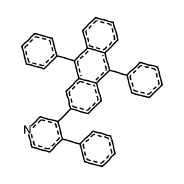 c1ccc(-c2ccncc2-c2ccc3c(-c4ccccc4)c4ccccc4c(-c4ccccc4)c3c2)cc1